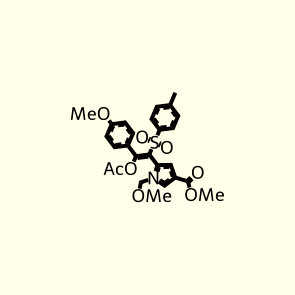 COCn1cc(C(=O)OC)cc1C(=C(OC(C)=O)c1ccc(OC)cc1)S(=O)(=O)c1ccc(C)cc1